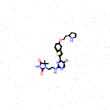 CC1(C)C(=O)NC(=O)N1CCNc1ncc(Br)c(-c2cc3cc(OCCC4CCCN4)ccc3s2)n1